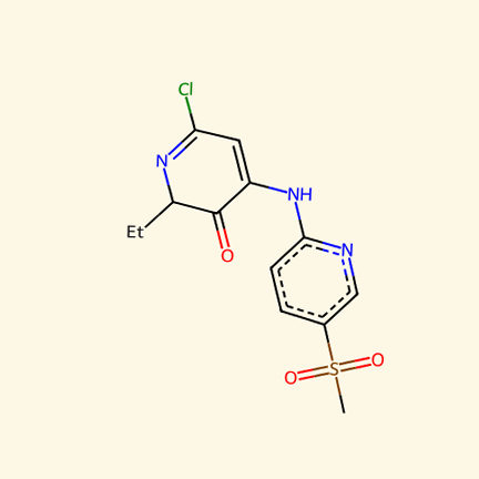 CCC1N=C(Cl)C=C(Nc2ccc(S(C)(=O)=O)cn2)C1=O